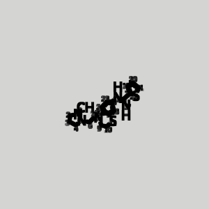 CN1CCCN1CCN1CCSc2cc(NC(=N)c3cccs3)ccc21